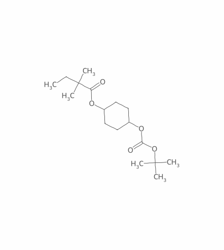 CCC(C)(C)C(=O)OC1CCC(OC(=O)OC(C)(C)C)CC1